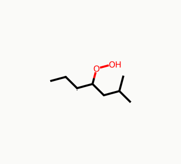 CC[CH]C(CC(C)C)OO